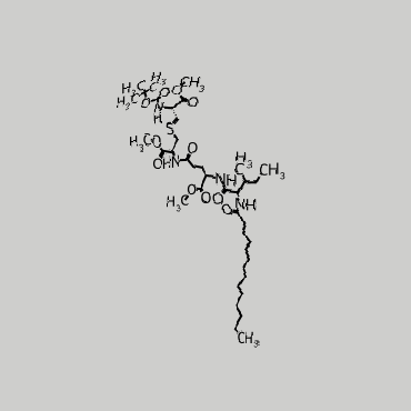 CCCCCCCCCCCCCC(=O)N[C@H](C(=O)N[C@H](CCC(=O)N[C@H](CSC[C@H](NC(=O)OC(C)(C)C)C(=O)OC)C(=O)OC)C(=O)OC)C(C)CC